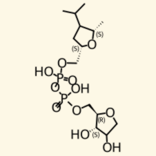 CC(C)C1C[C@@H](COP(=O)(O)OP(=O)(O)OC[C@H]2OCC(O)[C@@H]2O)O[C@H]1C